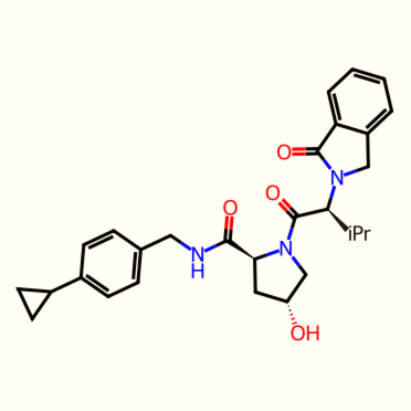 CC(C)[C@@H](C(=O)N1C[C@H](O)C[C@H]1C(=O)NCc1ccc(C2CC2)cc1)N1Cc2ccccc2C1=O